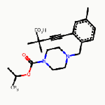 Cc1ccc(CN2CCN(C(=O)OC(C)C(F)(F)F)CC2)c(C#CC(C)(C)C(=O)O)c1